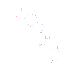 COc1ccc2nc(NC(=O)c3cc([19F])ccn3)sc2c1